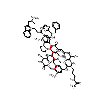 CC[C@H](C)[C@@H]([C@@H](CC(=O)N1CCC[C@H]1[C@H](OC)[C@@H](C)C(=O)N[C@@H](Cc1ccccc1)c1nccs1)OC)N(C)C(=O)[C@@H](NC(=O)[C@H](C(C)C)N(C)C(=O)OCc1ccc(NC(=O)[C@H](CCCNC(N)=O)NC(=O)[C@@H](NC(=O)CCC(=O)N(CCOCCOCCC(=O)O)C2CCN(C(=O)CCn3c(CN(C)NC)cc4cccnc43)CC2)C(C)C)cc1)C(C)C